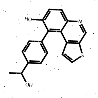 CC(O)c1ccc(-c2c(O)ccc3ncc4sccc4c23)cc1